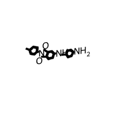 Cc1ccc(N2C(=O)c3ccc(NCc4ccc(N)cc4)cc3C2=O)cc1